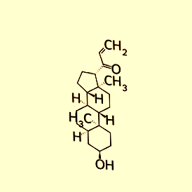 C=CC(=O)[C@H]1CC[C@H]2[C@@H]3CC[C@@H]4C[C@H](O)CC[C@]4(C)[C@H]3CC[C@]12C